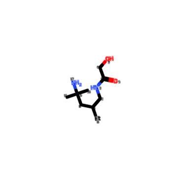 CCC(CNC(=O)CO)CC(C)(C)N